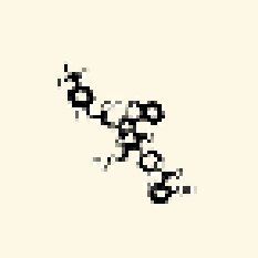 CCc1nc2n(CC(=O)Nc3ccc(C(F)(F)F)cc3)cc(-c3ccccc3N)n2c(=O)c1N1CCN(C(=O)c2ncccc2O)CC1